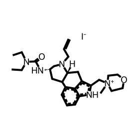 C=CCN1C[C@@H](NC(=O)N(CC)CC)CC2c3cccc4[nH]c(C[N+]5(C)CCOCC5)c(c34)C[C@H]21.[I-]